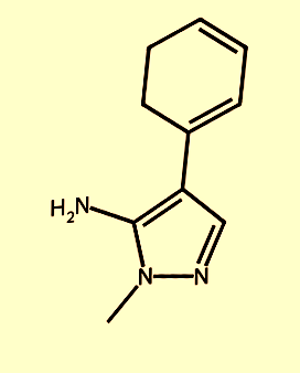 Cn1ncc(C2=CC=CCC2)c1N